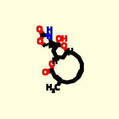 CC1=CC(=O)O[C@@H]2C[C@@H](CCCC=CCC1)O[C@@](O)([C@@H]1COC(=O)N1)C2